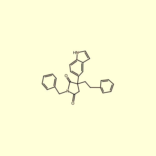 O=C1CC(CCc2ccccc2)(c2ccc3[nH]ccc3c2)C(=O)N1Cc1ccccc1